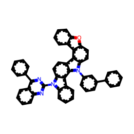 c1ccc(-c2cccc(-n3c4ccc5oc6ccccc6c5c4c4ccc5c(c6ccccc6n5-c5nc(-c6ccccc6)c6ccccc6n5)c43)c2)cc1